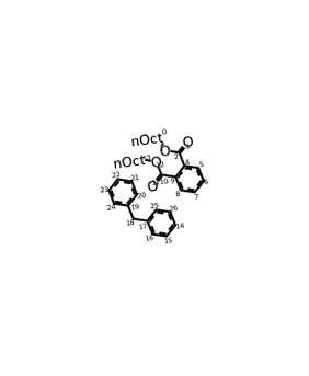 CCCCCCCCOC(=O)c1ccccc1C(=O)OCCCCCCCC.c1ccc(Cc2ccccc2)cc1